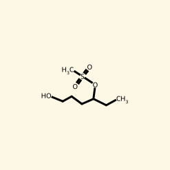 CCC(CCCO)OS(C)(=O)=O